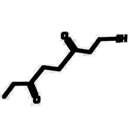 CCC(=O)CCC(=O)CCS